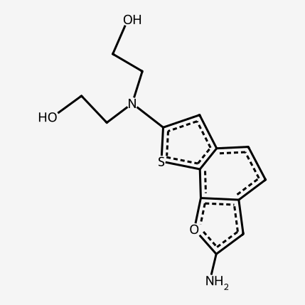 Nc1cc2ccc3cc(N(CCO)CCO)sc3c2o1